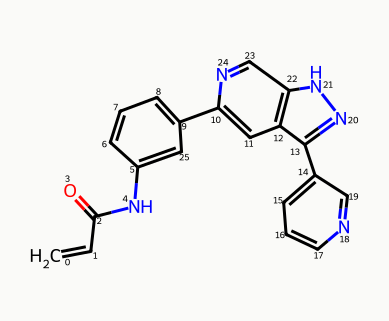 C=CC(=O)Nc1cccc(-c2cc3c(-c4cccnc4)n[nH]c3cn2)c1